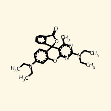 CCN(CC)c1ccc2c(c1)Oc1nc(N(CC)CC)nc(C)c1C21OC(=O)c2ccccc21